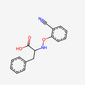 N#Cc1ccccc1ONC(Cc1ccccc1)C(=O)O